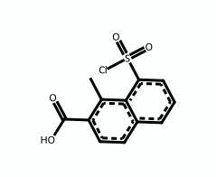 Cc1c(C(=O)O)ccc2cccc(S(=O)(=O)Cl)c12